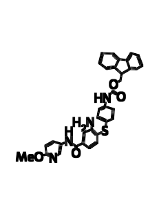 COc1ccc(NC(=O)c2ccc(Sc3ccc(NC(=O)OCC4c5ccccc5-c5ccccc54)cc3)c(N)c2)cn1